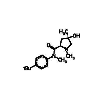 CN(C(=O)[C@H]1C[C@@](C)(O)CN1C)c1ccc(C(C)(C)C)cc1